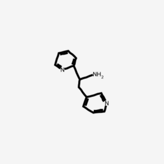 NC(Cc1cccnc1)c1ccccn1